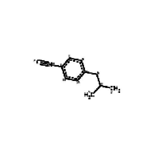 [C-]#[N+]c1ccc(CC(C)C)cc1